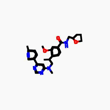 COc1cc(C(=O)NCC2CCCO2)ccc1C(C)CN(C)c1cc(-c2ccc(C)nc2)ncn1